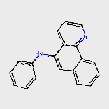 c1ccc(Nc2cc3ccccc3c3ncccc23)cc1